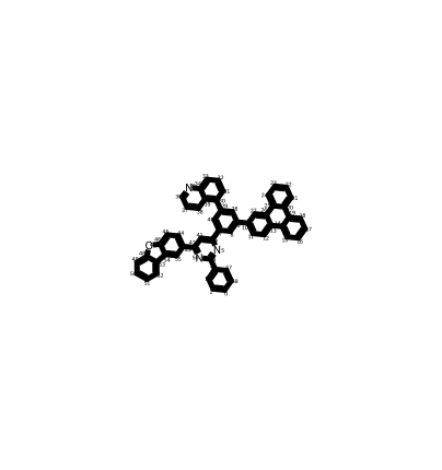 c1ccc(-c2nc(-c3cc(-c4ccc5c6ccccc6c6ccccc6c5c4)cc(-c4cccc5ncccc45)c3)cc(-c3ccc4oc5ccccc5c4c3)n2)cc1